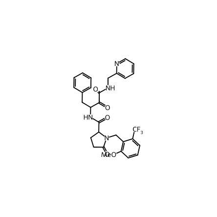 COc1cccc(C(F)(F)F)c1CN1C(=O)CCC1C(=O)NC(Cc1ccccc1)C(=O)C(=O)NCc1ccccn1